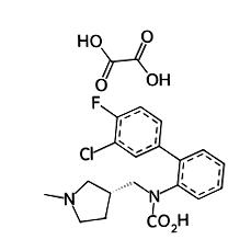 CN1CC[C@@H](CN(C(=O)O)c2ccccc2-c2ccc(F)c(Cl)c2)C1.O=C(O)C(=O)O